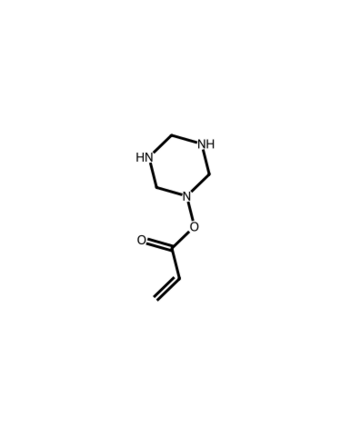 C=CC(=O)ON1CNCNC1